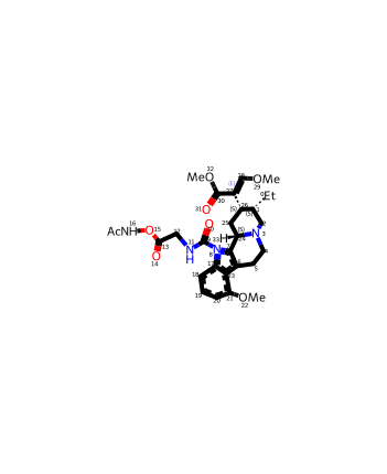 CC[C@@H]1CN2CCc3c(n(C(=O)NCC(=O)ONC(C)=O)c4cccc(OC)c34)[C@@H]2C[C@@H]1/C(=C\OC)C(=O)OC